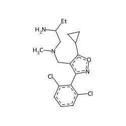 CCC(N)CN(C)Cc1c(-c2c(Cl)cccc2Cl)noc1C1CC1